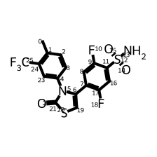 Cc1ccc(-n2c(-c3cc(F)c(S(N)(=O)=O)cc3F)csc2=O)cc1C(F)(F)F